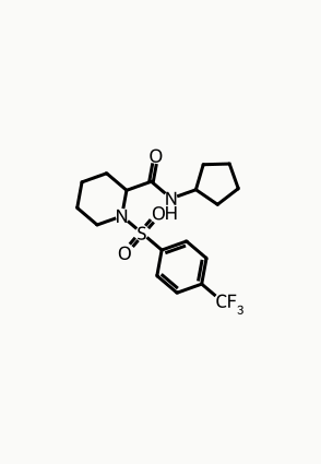 O=C(NC1CCCC1)C1CCCCN1S(=O)(=O)c1ccc(C(F)(F)F)cc1